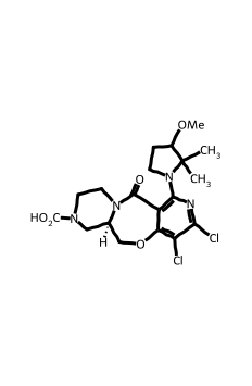 COC1CCN(c2nc(Cl)c(Cl)c3c2C(=O)N2CCN(C(=O)O)C[C@@H]2CO3)C1(C)C